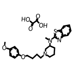 COc1ccc(OCCCCN2CCCC(N(C)c3nc4ccccc4s3)C2)cc1.O=C(O)C(=O)O